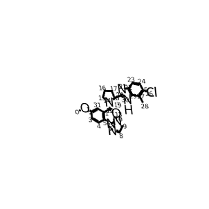 COc1ccc(-n2nccn2)c(C(=O)N2CCC[C@@]2(C)c2nc3ccc(Cl)c(C)c3[nH]2)c1